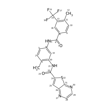 Cc1ccc(NC(=O)c2ccc(C)c(C(F)(F)F)c2)cc1NC(=O)c1cc2nccnc2s1